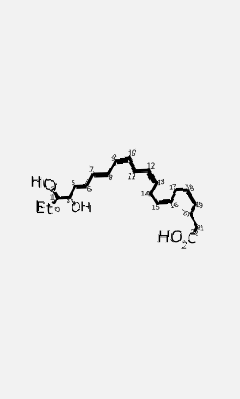 CC[C@@H](O)[C@@H](O)/C=C/C=C/C=C\C/C=C\C/C=C\C/C=C\CCC(=O)O